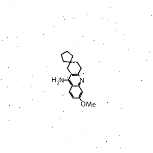 COc1ccc2c(N)c3c(nc2c1)CCC1(CCCC1)C3